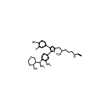 C=CNCCCC(N)Cc1cc(-c2ccc(C#N)c(F)c2)c(-c2ccc(N(N)C3COCCC3O)c(N)c2)s1